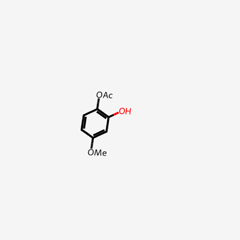 COc1ccc(OC(C)=O)c(O)c1